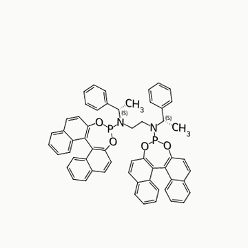 C[C@@H](c1ccccc1)N(CCN([C@@H](C)c1ccccc1)p1oc2ccc3ccccc3c2c2c(ccc3ccccc32)o1)p1oc2ccc3ccccc3c2c2c(ccc3ccccc32)o1